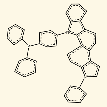 c1ccc(-n2ccc3c4ccc5c6ccccc6n(-c6ccc(P(c7ccccc7)c7ccccc7)cc6)c5c4ccc32)cc1